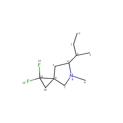 CCC(C)C1CC2(CN1C)CC2(F)F